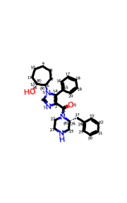 O=C(c1ncn([C@@H]2CCCCC[C@H]2O)c1-c1ccccc1)N1CCNC[C@H]1Cc1ccccc1